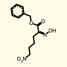 O=C(OCc1ccccc1)/C(CCCC[N+](=O)[O-])=N\O